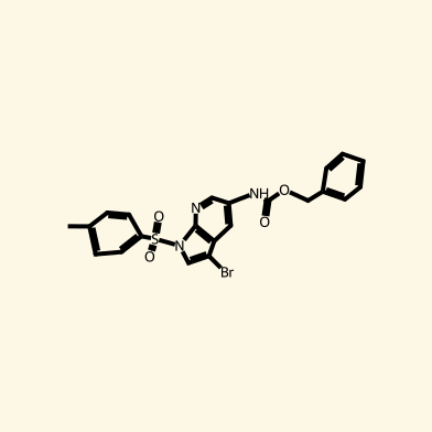 Cc1ccc(S(=O)(=O)n2cc(Br)c3cc(NC(=O)OCc4ccccc4)cnc32)cc1